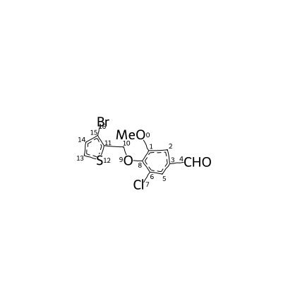 COc1cc(C=O)cc(Cl)c1OCc1sccc1Br